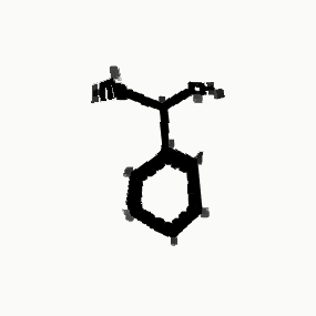 CC([TeH])c1ccccc1